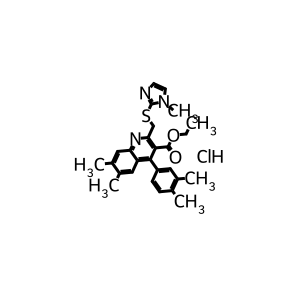 CCOC(=O)c1c(CSc2nccn2C)nc2cc(C)c(C)cc2c1-c1ccc(C)c(C)c1.Cl